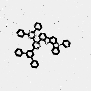 c1ccc(-c2cc(-c3ccccc3)cc(-c3cnc(-c4cccc5c4oc4c5ccc5c4c4ccccc4n5-c4ccccc4)c(-c4nc(-c5ccccc5)nc(-c5ccccc5)n4)c3)c2)cc1